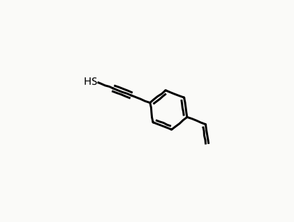 C=Cc1ccc(C#CS)cc1